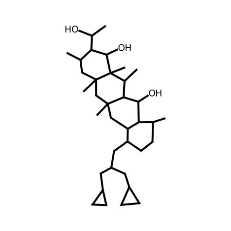 CC(O)C1C(C)CC2(C)CC3(C)CC4C(CC(CC5CC5)CC5CC5)CCC(C)C4C(O)C3C(C)C2(C)C1O